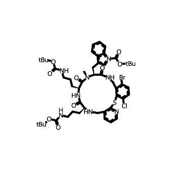 CN1C(=O)[C@H](CCCNC(=O)OC(C)(C)C)NC(=O)[C@H](CCCNC(=O)OC(C)(C)C)NCc2cccnc2Sc2c(Cl)ccc(Br)c2CNC(=O)[C@@H]1Cc1cn(C(=O)OC(C)(C)C)c2ccccc12